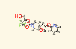 O=C(O[C@H](CO)C(F)(F)F)N1CCC2(CC1)CC(Oc1ccccn1)CO2